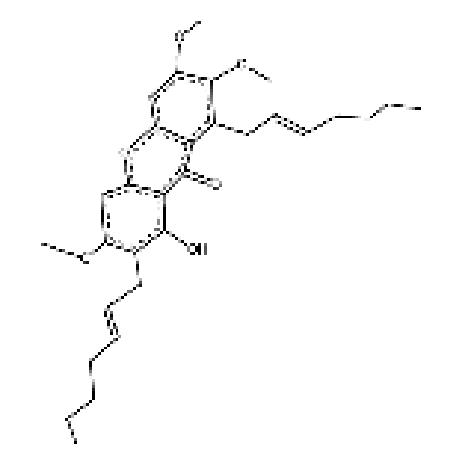 CCCC/C=C/Cc1c(OC)cc2oc3cc(OC)c(OC)c(C/C=C/CCCC)c3c(=O)c2c1O